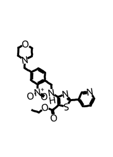 CCOC(=O)c1sc(-c2cccnc2)nc1NCc1ccc(CN2CCOCC2)cc1[N+](=O)[O-]